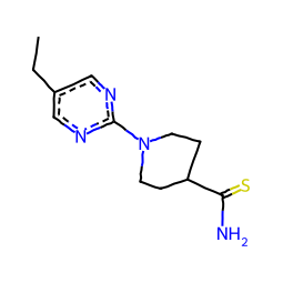 CCc1cnc(N2CCC(C(N)=S)CC2)nc1